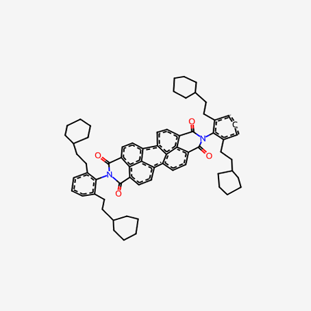 O=C1c2ccc3c4ccc5c6c(ccc(c7ccc(c2c37)C(=O)N1c1c(CCC2CCCCC2)cccc1CCC1CCCCC1)c64)C(=O)N(c1c(CCC2CCCCC2)cccc1CCC1CCCCC1)C5=O